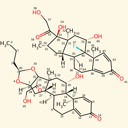 CCC[C@@H]1O[C@@H]2C[C@H]3[C@@H]4CCC5=CC(=O)C=C[C@]5(C)[C@H]4[C@@H](O)C[C@]3(C)[C@]2(C(=O)CO)O1.C[C@H]1C[C@H]2[C@@H]3CCC4=CC(=O)C=C[C@]4(C)[C@@]3(F)[C@@H](O)C[C@]2(C)[C@@]1(O)C(=O)CO